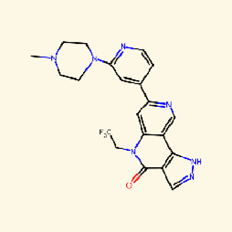 CN1CCN(c2cc(-c3cc4c(cn3)c3[nH]ncc3c(=O)n4CC(F)(F)F)ccn2)CC1